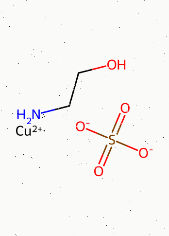 NCCO.O=S(=O)([O-])[O-].[Cu+2]